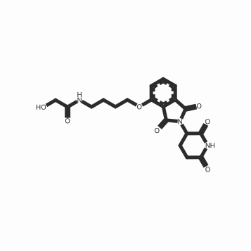 O=C(CO)NCCCCOc1cccc2c1C(=O)N(C1CCC(=O)NC1=O)C2=O